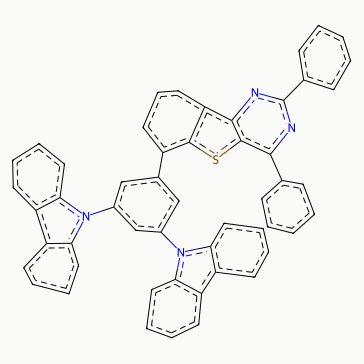 c1ccc(-c2nc(-c3ccccc3)c3sc4c(-c5cc(-n6c7ccccc7c7ccccc76)cc(-n6c7ccccc7c7ccccc76)c5)cccc4c3n2)cc1